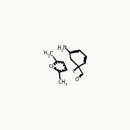 Cc1ccc(C)o1.NC1=CC=CC(I)(C=O)C1